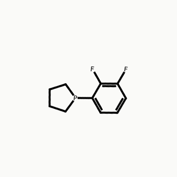 Fc1cccc(P2CCCC2)c1F